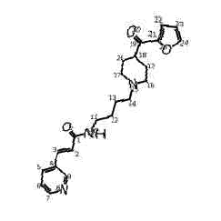 O=C(C=Cc1cccnc1)NCCCCN1CCC(C(=O)c2ccco2)CC1